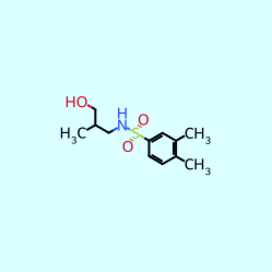 Cc1ccc(S(=O)(=O)NCC(C)CO)cc1C